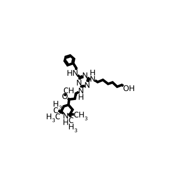 COC(CCNc1nc(NCCCCCCO)nc(NCc2ccccc2)n1)C1CC(C)(C)NC(C)(C)C1